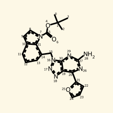 CC(C)(C)OC(=O)n1ccc2cccc(Cn3nnc4c(-c5ccco5)nc(N)nc43)c21